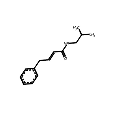 CC(C)CNC(=O)C=CCc1ccccc1